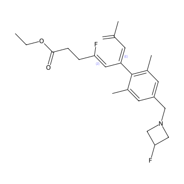 C=C(C)/C=C(\C=C(/F)CCC(=O)OCC)c1c(C)cc(CN2CC(F)C2)cc1C